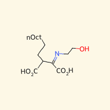 CCCCCCCCCCC(C(=O)O)C(=NCCO)C(=O)O